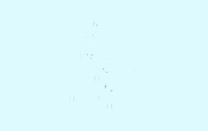 NC(=O)C[C@H](N)C(=O)N[C@@]1(C(=O)O)C[C@H](O)[C@H]2[C@H](C(=O)O)[C@H]21